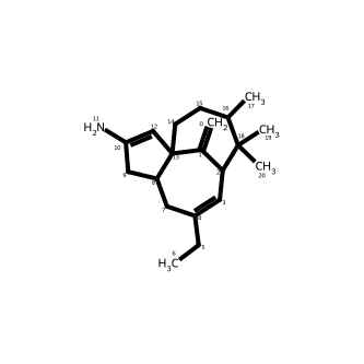 C=C1C2C=C(CC)CC3CC(N)=CC13CCC(C)C2(C)C